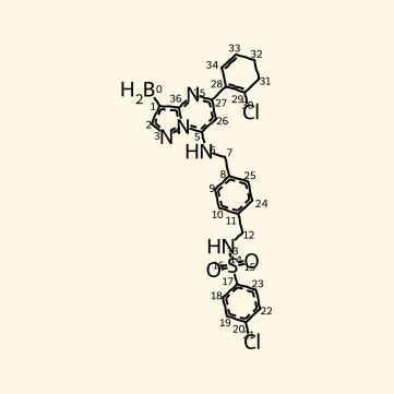 Bc1cnn2c(NCc3ccc(CNS(=O)(=O)c4ccc(Cl)cc4)cc3)cc(C3=C(Cl)CCC=C3)nc12